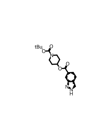 CC(C)(C)OC(=O)N1CCC(OC(=O)c2ccc3c[nH]nc3c2)CC1